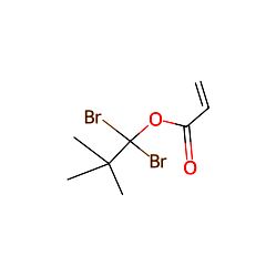 C=CC(=O)OC(Br)(Br)C(C)(C)C